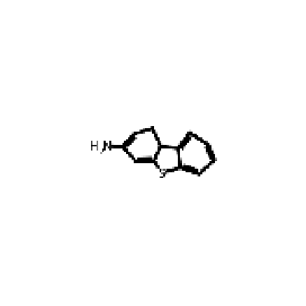 NC1=CCC2C(=C1)Sc1ccccc12